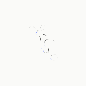 CNC1=Nc2cc(-n3cc(C4CCCN4)cn3)c(OC)cc2C12CCC2